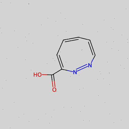 O=C(O)C1=CC=CC=CN=N1